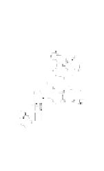 COc1cc(/C=C2/C(C(=O)NCc3ccco3)=Cc3cc(F)ccc32)cc(OC)c1O